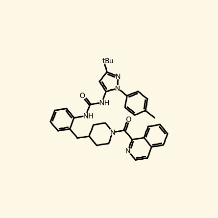 Cc1ccc(-n2nc(C(C)(C)C)cc2NC(=O)Nc2ccccc2CC2CCN(C(=O)c3nccc4ccccc34)CC2)cc1